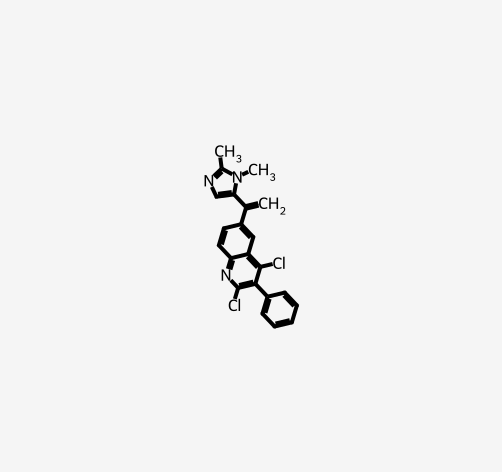 C=C(c1ccc2nc(Cl)c(-c3ccccc3)c(Cl)c2c1)c1cnc(C)n1C